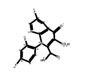 CCCC(CC)c1c(C(=O)O)c(=O)c2cc(F)cnc2n1-c1ccc(F)cc1F